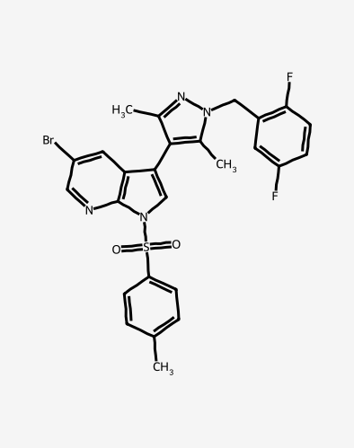 Cc1ccc(S(=O)(=O)n2cc(-c3c(C)nn(Cc4cc(F)ccc4F)c3C)c3cc(Br)cnc32)cc1